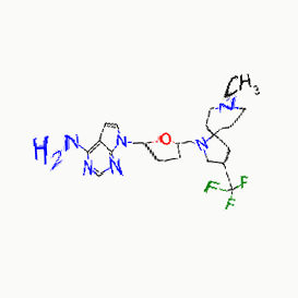 CN1CCC2(CC1)CC(C(F)(F)F)CN2CC1CCC(n2ccc3c(N)ncnc32)O1